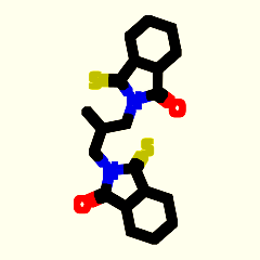 CC(CN1C(=O)C2CCCCC2C1=S)CN1C(=O)C2CCCCC2C1=S